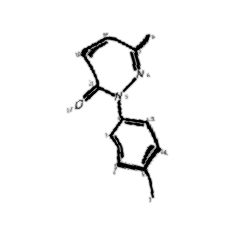 Cc1[c]cc(-n2nc(C)ccc2=O)cc1